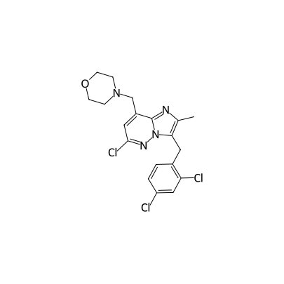 Cc1nc2c(CN3CCOCC3)cc(Cl)nn2c1Cc1ccc(Cl)cc1Cl